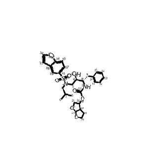 CC(C)CN(C[C@@H](O)[C@H](Cc1ccccc1)NC(=O)OC1COC2OCCC12)S(=O)(=O)c1ccc2occc2c1